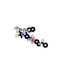 CCCCN(CCCC)C(=O)c1nn(-c2ccc(C(=O)NS(=O)(=O)c3ccc4c(c3)CCN4C(=O)C3CCCCC3)cc2C(=O)N2CCc3ccccc3C2)c(C)c1Cl